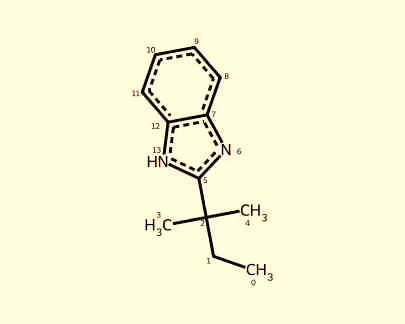 CCC(C)(C)c1nc2ccccc2[nH]1